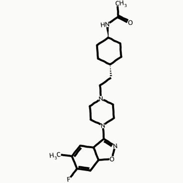 CC(=O)N[C@H]1CC[C@H](CCN2CCN(C3=NOC4C=C(F)C(C)=CC34)CC2)CC1